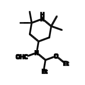 CCOC(CC)N(C=O)C1CC(C)(C)NC(C)(C)C1